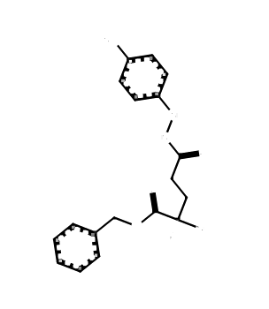 N#Cc1ccc(NNC(=O)CC[C@](N)(C(=O)O)C(=O)OCc2ccccc2)cc1